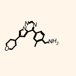 Cc1cc(-c2ncnn3cc(C4CCOCC4)cc23)ccc1CN